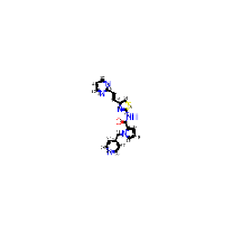 O=C(Nc1nc(/C=C/c2ncccn2)cs1)c1cccn1Cc1ccncc1